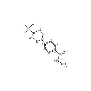 CC(C)(C)N1CCN(c2ccc(C(=O)NN)cc2)CC1